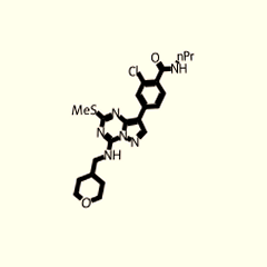 CCCNC(=O)c1ccc(-c2cnn3c(NCC4CCOCC4)nc(SC)nc23)cc1Cl